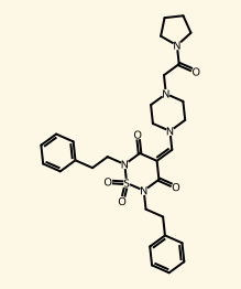 O=C(CN1CCN(C=C2C(=O)N(CCc3ccccc3)S(=O)(=O)N(CCc3ccccc3)C2=O)CC1)N1CCCC1